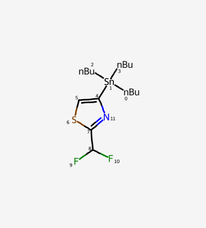 CCC[CH2][Sn]([CH2]CCC)([CH2]CCC)[c]1csc(C(F)F)n1